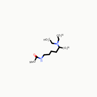 COC(=O)NCCCCC(C(=O)O)N(CC(=O)O)CC(=O)O